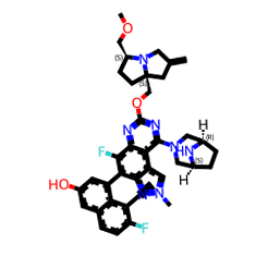 C#Cc1c(F)ccc2cc(O)cc(-c3c(F)c4nc(OC[C@@]56CC[C@@H](COC)N5CC(=C)C6)nc(N5C[C@H]6CC[C@@H](C5)N6)c4c4cn(C)nc34)c12